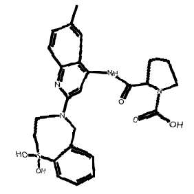 Cc1ccc2nc(N3CCS(O)(O)c4ccccc4C3)cc(NC(=O)C3CCCN3C(=O)O)c2c1